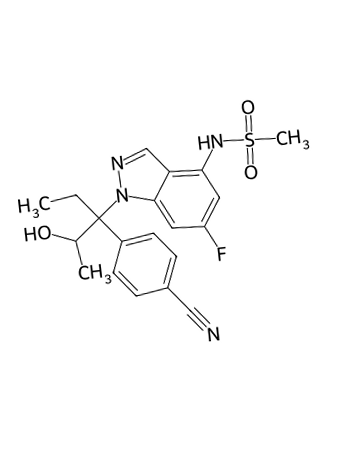 CCC(c1ccc(C#N)cc1)(C(C)O)n1ncc2c(NS(C)(=O)=O)cc(F)cc21